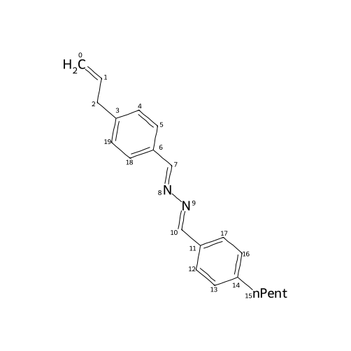 C=CCc1ccc(/C=N/N=C/c2ccc(CCCCC)cc2)cc1